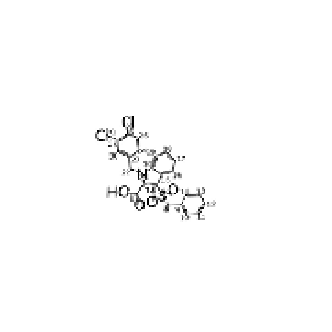 O=C(O)c1c(S(=O)(=O)Cc2ccccc2)c2ccccc2n1Cc1ccc(Cl)c(Cl)c1